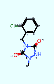 Cn1[nH]c(=O)n(Cc2ccccc2Cl)c1=O